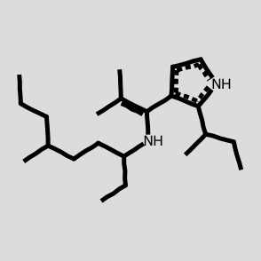 CCCC(C)CCC(CC)NC(=C(C)C)c1cc[nH]c1C(C)CC